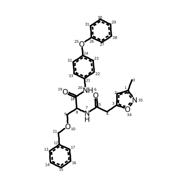 Cc1cc(CC(=O)NC(COCc2ccccc2)C(=O)Nc2ccc(Oc3ccccc3)cc2)on1